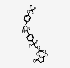 O=C(OCC(F)(F)c1ccc(-c2ncn(-c3ccc(OC(F)(F)F)cc3)n2)cc1)ON1C(=O)CCC1=O